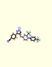 N#Cc1ccc(-c2n[nH]cc2CN2CCN(c3ccc(C(F)(F)F)cn3)C(C(F)(F)F)C2)cc1